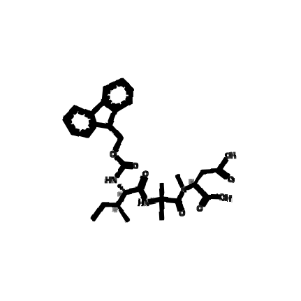 CC[C@H](C)[C@H](NC(=O)OCC1c2ccccc2-c2ccccc21)C(=O)NC(C)(C)C(=O)N(C)[C@@H](CC(=O)O)C(=O)O